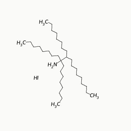 CCCCCCCCCC(CCCCCCCC)C(N)(CCCCCCCC)CCCCCCCC.I